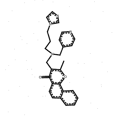 Cc1oc2c(ccc3ccccc32)c(=O)c1CN(CCCn1ccnc1)Cc1ccncc1